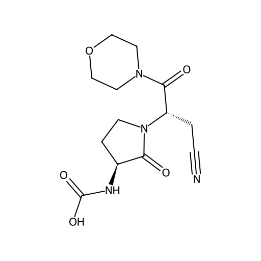 N#CC[C@@H](C(=O)N1CCOCC1)N1CC[C@H](NC(=O)O)C1=O